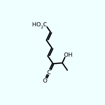 CC(O)C(=C=O)C=CC=CC(=O)O